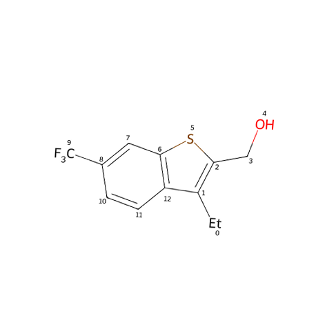 CCc1c(CO)sc2cc(C(F)(F)F)ccc12